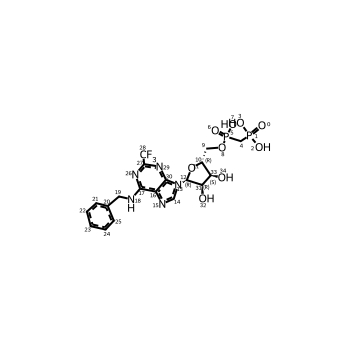 O=P(O)(O)CP(=O)(O)OC[C@H]1O[C@@H](n2cnc3c(NCc4ccccc4)nc(C(F)(F)F)nc32)[C@H](O)[C@@H]1O